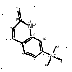 C[N+](C)(C)c1ccc2ccc(=O)[nH]c2c1